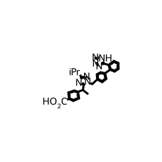 CC(C)c1nc(C(C)c2ccc(C(=O)O)cc2)n(Cc2ccc(-c3ccccc3-c3nnn[nH]3)cc2)n1